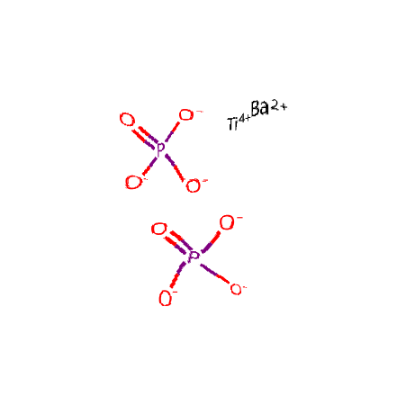 O=P([O-])([O-])[O-].O=P([O-])([O-])[O-].[Ba+2].[Ti+4]